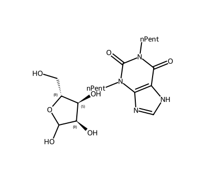 CCCCCn1c(=O)c2[nH]cnc2n(CCCCC)c1=O.OC[C@H]1OC(O)[C@H](O)[C@@H]1O